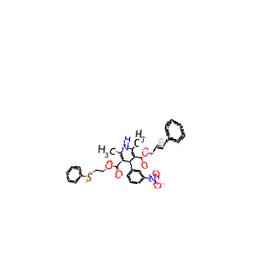 CC1=C(C(=O)OC/C=C/c2ccccc2)C(c2cccc([N+](=O)[O-])c2)C(C(=O)OCCSc2ccccc2)=C(C)N1